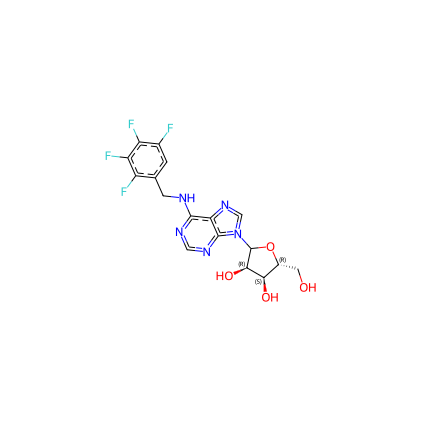 OC[C@H]1OC(n2cnc3c(NCc4cc(F)c(F)c(F)c4F)ncnc32)[C@H](O)[C@@H]1O